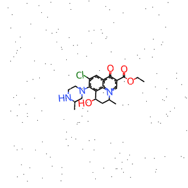 CCOC(=O)c1cn2c3c(c(N4CCNC(C)C4)c(Cl)cc3c1=O)C(O)CC2C